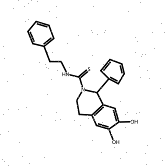 Oc1cc2c(cc1O)C(c1ccccc1)N(C(=S)NCCc1ccccc1)CC2